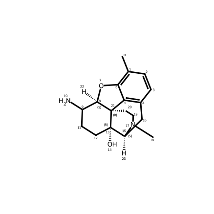 Cc1ccc2c3c1O[C@@H]1C(N)CC[C@]4(O)[C@H](C2)N(C)CC[C@@]314